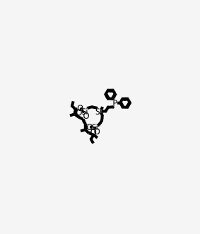 CCC1=C(C)C2O[Si]3(CCC[Si](C)(CCCP(c4ccccc4)c4ccccc4)CCC[Si]45OC(=C(C)C(O4)C(C)(CC)O5)C2(C)O3)O1